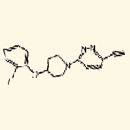 C#Cc1ccc(N2CCC(Oc3ccccc3F)CC2)nn1